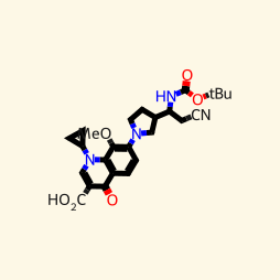 COc1c(N2CCC(C(CC#N)NC(=O)OC(C)(C)C)C2)ccc2c(=O)c(C(=O)O)cn(C3CC3)c12